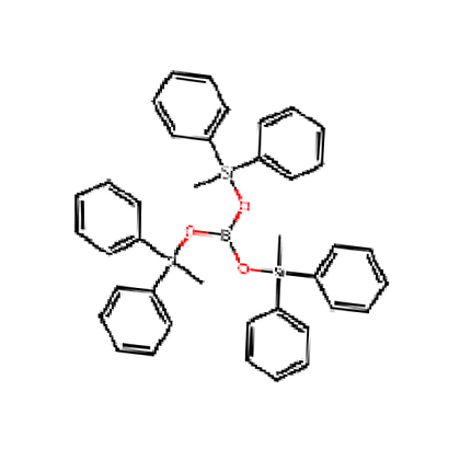 C[Si](OB(O[Si](C)(c1ccccc1)c1ccccc1)O[Si](C)(c1ccccc1)c1ccccc1)(c1ccccc1)c1ccccc1